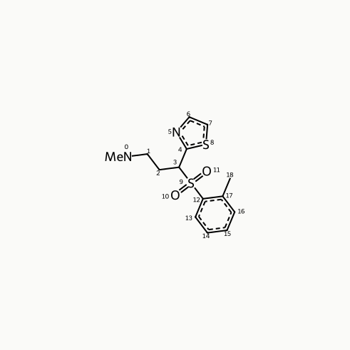 CNCCC(c1nccs1)S(=O)(=O)c1ccccc1C